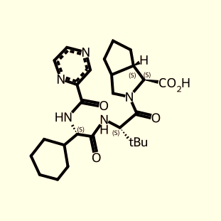 CC(C)(C)[C@H](NC(=O)[C@@H](NC(=O)c1cnccn1)C1CCCCC1)C(=O)N1CC2CCC[C@@H]2[C@H]1C(=O)O